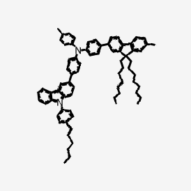 CCCCCCCCC1(CCCCCCCC)c2cc(C)ccc2-c2ccc(-c3ccc(N(c4ccc(C)cc4)c4ccc(-c5ccc6c(c5)c5ccccc5n6-c5ccc(CCCCCC)cc5)cc4)cc3)cc21